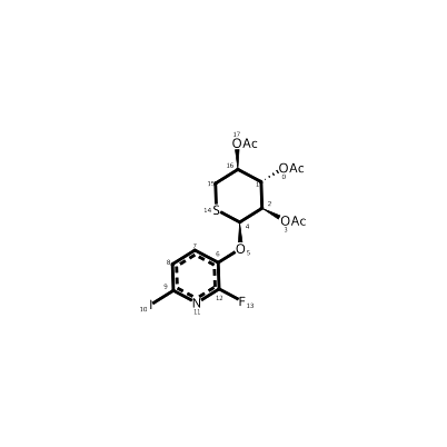 CC(=O)O[C@@H]1[C@@H](OC(C)=O)[C@@H](Oc2ccc(I)nc2F)SC[C@H]1OC(C)=O